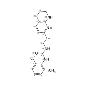 Cc1cccc(Cl)c1NC(=O)NCCc1ccc2c(n1)NCCC2